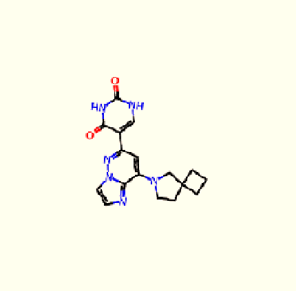 O=c1[nH]cc(-c2cc(N3CCC4(CCC4)C3)c3nccn3n2)c(=O)[nH]1